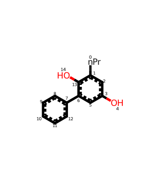 CCCc1cc(O)cc(-c2ccccc2)c1O